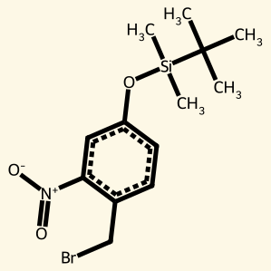 CC(C)(C)[Si](C)(C)Oc1ccc(CBr)c([N+](=O)[O-])c1